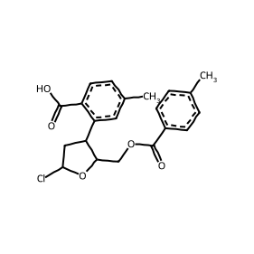 Cc1ccc(C(=O)OCC2OC(Cl)CC2c2cc(C)ccc2C(=O)O)cc1